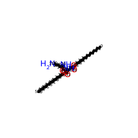 CCCCCCCCCCCCCCCCOC(=O)CCC(NC(=O)C(N)CCCCN)C(=O)OCCCCCCCCCCCCCCCC